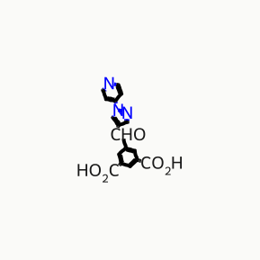 Cc1cc(C(=O)O)cc(C(=O)O)c1.O=Cc1cnn(-c2ccncc2)c1